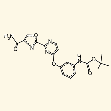 CC(C)(C)OC(=O)Nc1cccc(Oc2ccnc(-c3nc(C(N)=O)co3)n2)c1